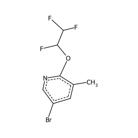 Cc1cc(Br)cnc1OC(F)C(F)F